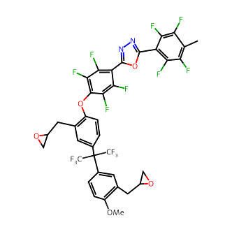 COc1ccc(C(c2ccc(Oc3c(F)c(F)c(-c4nnc(-c5c(F)c(F)c(C)c(F)c5F)o4)c(F)c3F)c(CC3CO3)c2)(C(F)(F)F)C(F)(F)F)cc1CC1CO1